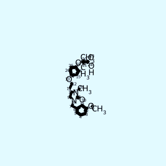 COc1cccc(CN2C[C@H](CCOc3ccc(OC(C)(C)C(=O)O)cc3)N(C)C2=O)c1